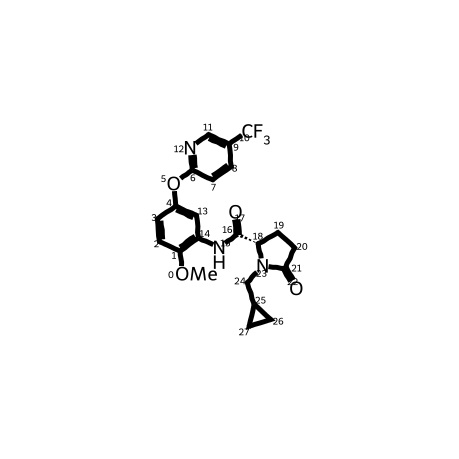 COc1ccc(Oc2ccc(C(F)(F)F)cn2)cc1NC(=O)[C@@H]1CCC(=O)N1CC1CC1